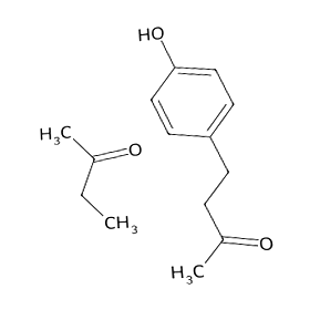 CC(=O)CCc1ccc(O)cc1.CCC(C)=O